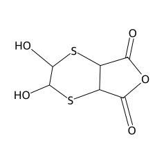 O=C1OC(=O)C2SC(O)C(O)SC12